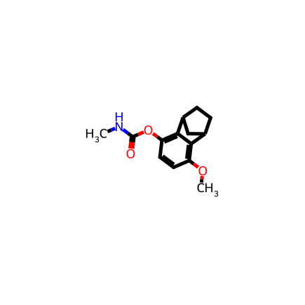 CNC(=O)Oc1ccc(OC)c2c1C1CCC2C1